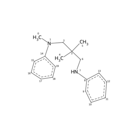 CN(CC(C)(C)CNc1ccccc1)c1ccccc1